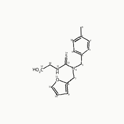 Cc1ccc(CN(Cc2ccco2)C(=S)NCC(=O)O)cc1